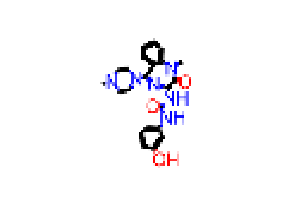 CN1CCN(C2=N[C@@H](NC(=O)Nc3cccc(O)c3)C(=O)N(C)c3ccccc32)CC1